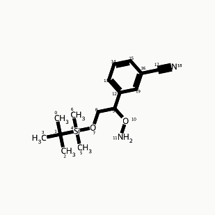 CC(C)(C)[Si](C)(C)OCC(ON)c1cccc(C#N)c1